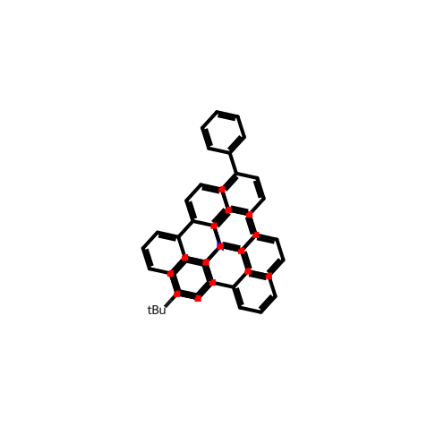 CC(C)(C)c1ccc(N(c2ccccc2-c2ccc(-c3ccccc3)cc2)c2ccccc2-c2cccc3cccc(-c4ccccc4)c23)c(-c2ccccc2)c1